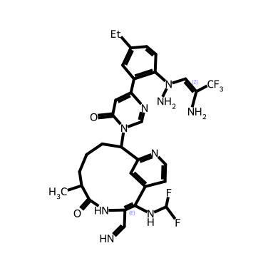 CCc1ccc(N(N)/C=C(\N)C(F)(F)F)c(-c2cc(=O)n(C3CCCC(C)C(=O)N/C(C=N)=C(/NC(F)F)c4ccnc3c4)cn2)c1